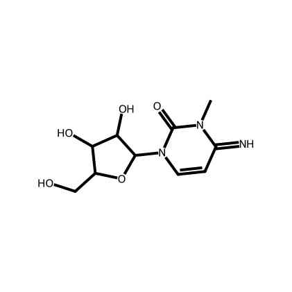 Cn1c(=N)ccn(C2OC(CO)C(O)C2O)c1=O